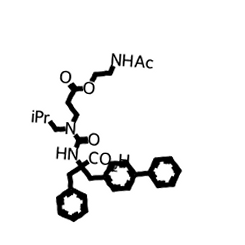 CC(=O)NCCOC(=O)CCN(CC(C)C)C(=O)NC(Cc1ccccc1)(Cc1ccc(-c2ccccc2)cc1)C(=O)O